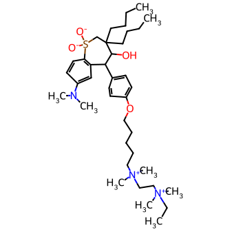 CCCCC1(CCCC)CS([O-])([O-])c2ccc(N(C)C)cc2C(c2ccc(OCCCCC[N+](C)(C)CC[N+](C)(C)CC)cc2)C1O